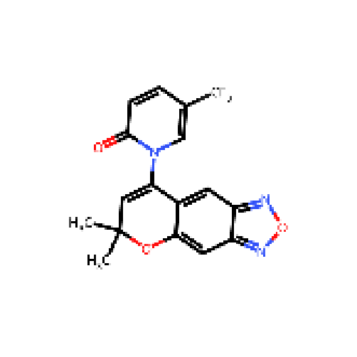 CC1(C)C=C(n2cc(C(F)(F)F)ccc2=O)c2cc3nonc3cc2O1